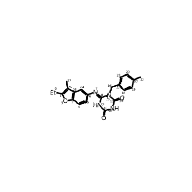 CCc1oc2ccc(/N=c3\[nH]c(=O)[nH]c(=O)n3Cc3ccc(C)cc3)cc2c1C